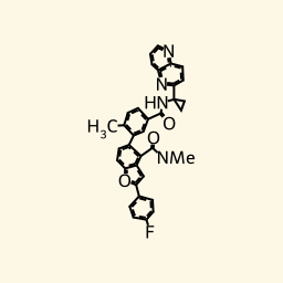 CNC(=O)c1c(-c2cc(C(=O)NC3(c4ccc5ncccc5n4)CC3)ccc2C)ccc2oc(-c3ccc(F)cc3)cc12